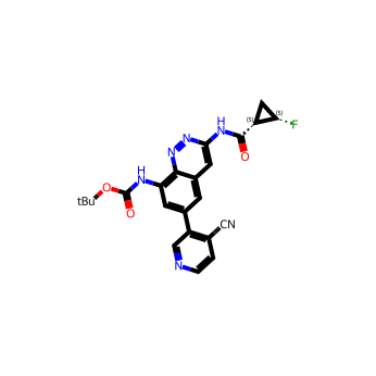 CC(C)(C)OC(=O)Nc1cc(-c2cnccc2C#N)cc2cc(NC(=O)[C@@H]3C[C@@H]3F)nnc12